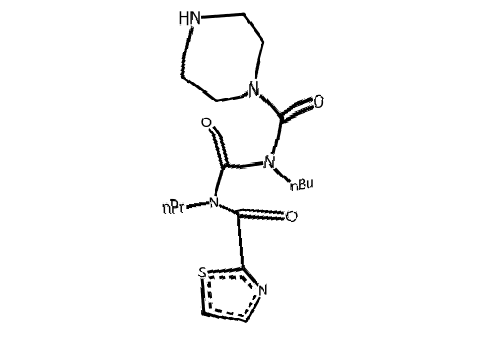 CCCCN(C(=O)N1CCNCC1)C(=O)N(CCC)C(=O)c1nccs1